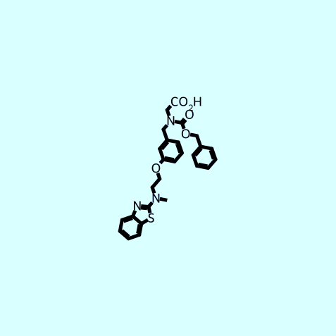 CN(CCOc1cccc(CN(CC(=O)O)C(=O)OCc2ccccc2)c1)c1nc2ccccc2s1